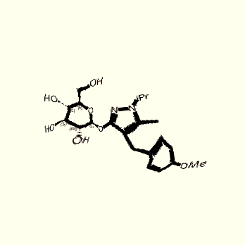 COc1ccc(Cc2c(O[C@@H]3O[C@H](CO)[C@@H](O)[C@H](O)[C@H]3O)nn(C(C)C)c2C)cc1